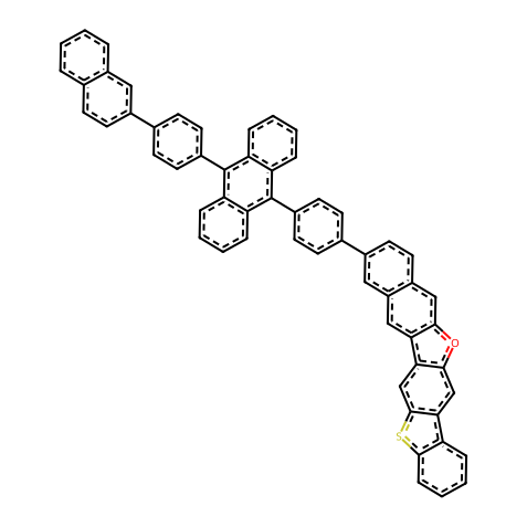 c1ccc2cc(-c3ccc(-c4c5ccccc5c(-c5ccc(-c6ccc7cc8oc9cc%10c(cc9c8cc7c6)sc6ccccc6%10)cc5)c5ccccc45)cc3)ccc2c1